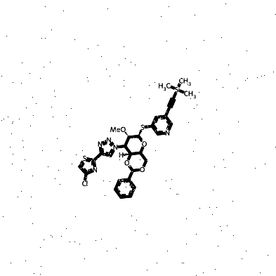 CO[C@H]1C(n2cc(-c3nc(Cl)cs3)nn2)[C@H]2OC(c3ccccc3)OCC2O[C@@H]1Sc1cncc(C#C[Si](C)(C)C)c1